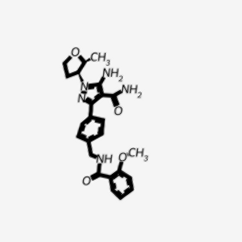 COc1ccccc1C(=O)NCc1ccc(-c2nn([C@H]3CCO[C@H]3C)c(N)c2C(N)=O)cc1